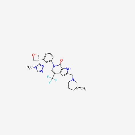 C[C@H]1CCCN(Cc2cc3c(C(F)(F)F)cn(-c4cccc(C5(c6nncn6C)COC5)c4)c(=O)c3[nH]2)C1